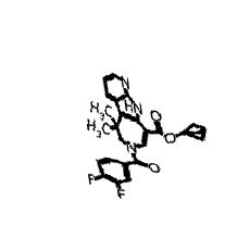 CC1(C)CN(C(=O)c2ccc(F)c(F)c2)C=C(C(=O)OC23CC(C2)C3)c2[nH]c3ncccc3c21